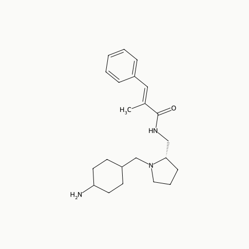 C/C(=C\c1ccccc1)C(=O)NC[C@@H]1CCCN1CC1CCC(N)CC1